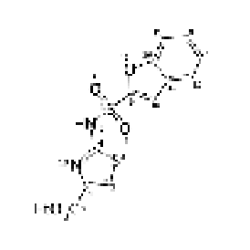 CCOC(=O)c1csc(NS(=O)(=O)c2cc3ccccc3o2)n1